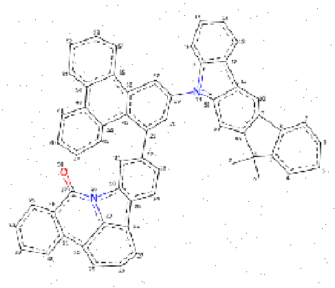 CC1(C)c2ccccc2-c2cc3c4ccccc4n(-c4cc(-c5ccc6c7cccc8c9ccccc9c(=O)n(c6c5)c87)c5c6ccccc6c6ccccc6c5c4)c3cc21